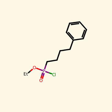 CCOP(=O)(Cl)CCCCc1ccccc1